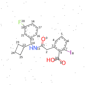 O=C(Cc1cccc(I)c1C(=O)O)NC(c1cccc(F)c1)C1CCC1